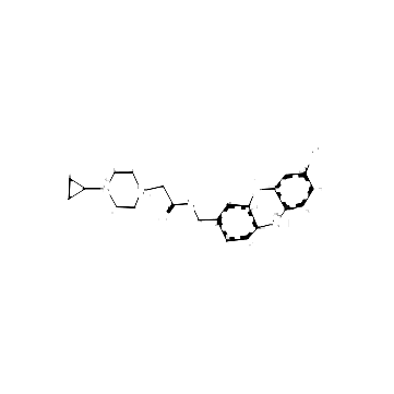 O=C(CN1CCN(C2CC2)CC1)NCc1ccc2c(c1)Oc1cc(C(F)(F)F)ccc1N2